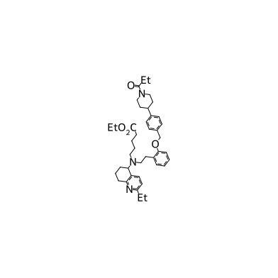 CCOC(=O)CCCCN(CCc1ccccc1OCc1ccc(C2CCN(C(=O)CC)CC2)cc1)C1CCCc2nc(CC)ccc21